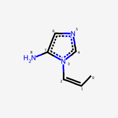 C/C=C\n1cncc1N